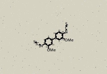 COc1cc(-c2ccc(N=C=S)c(OC)c2)ccc1N=C=S